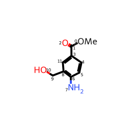 COC(=O)c1ccc(N)c(CO)c1